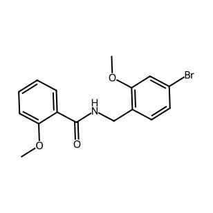 COc1cc(Br)ccc1CNC(=O)c1ccccc1OC